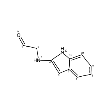 O=[C]CNc1cc2ccccc2[nH]1